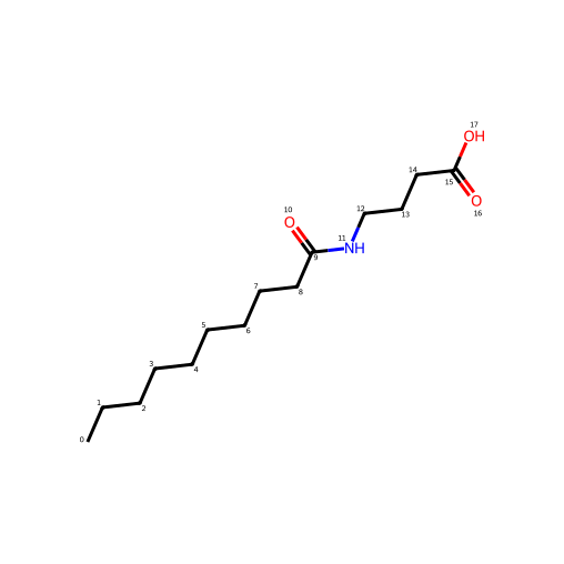 CCCCCCCCCC(=O)NCCCC(=O)O